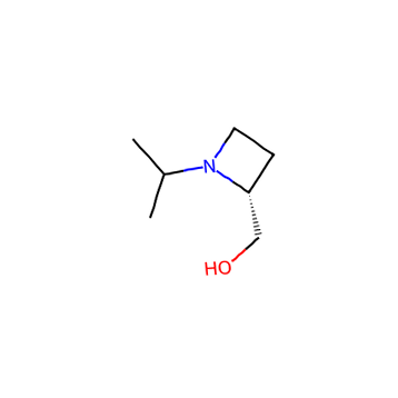 CC(C)N1CC[C@@H]1CO